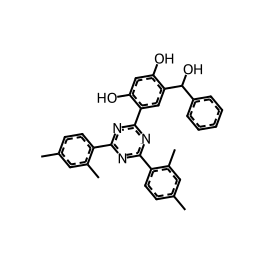 Cc1ccc(-c2nc(-c3ccc(C)cc3C)nc(-c3cc(C(O)c4ccccc4)c(O)cc3O)n2)c(C)c1